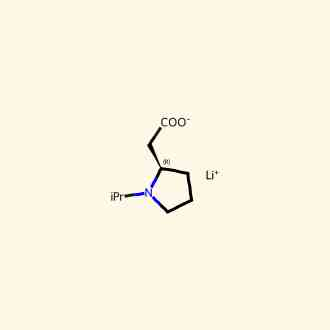 CC(C)N1CCC[C@@H]1CC(=O)[O-].[Li+]